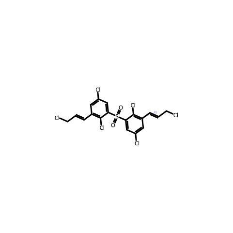 O=S(=O)(c1cc(Cl)cc(C=CCCl)c1Cl)c1cc(Cl)cc(/C=C/CCl)c1Cl